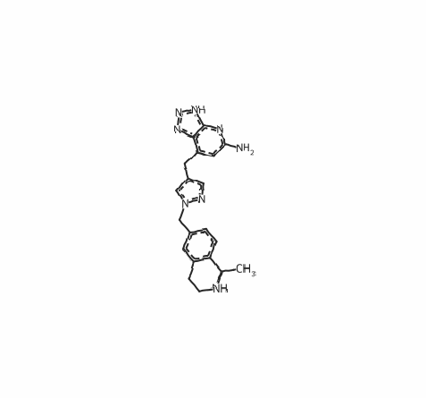 CC1NCCc2cc(Cn3cc(Cc4cc(N)nc5[nH]nnc45)cn3)ccc21